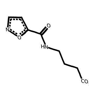 O=C(O)CCCNC(=O)c1ccno1